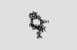 C=CC(=O)N1CC[C@H](C(=O)N(C)[C@H](C(=O)N[C@H]2Cc3cc(O)cc(c3)N3CCc4nc(-c5cccnc5[C@H](C)OC)n(c4C3)CC(C)(C)COC(=O)[C@@H]3CCCN(N3)C2=O)C(C)C)C1